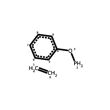 C=C.POc1ccccc1